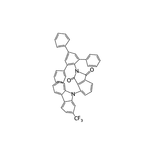 O=C1c2cccc(-n3c4ccccc4c4ccc(C(F)(F)F)cc43)c2C(=O)N1c1c(-c2ccccc2)cc(-c2ccccc2)cc1-c1ccccc1